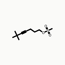 CC(C)(C)C#CCCCOS(C)(=O)=O